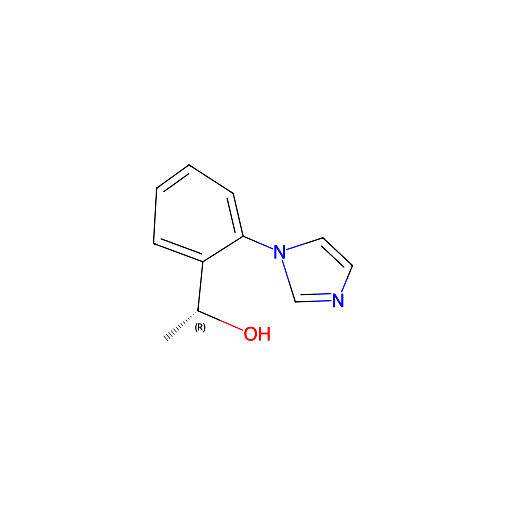 C[C@@H](O)c1ccccc1-n1ccnc1